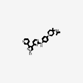 C=C(C)NC1(C)CCN(c2ccc(Nc3nccc(-c4cn(CC)nc4-c4cccnc4)n3)cc2)CC1